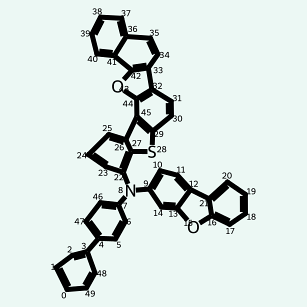 c1ccc(-c2ccc(N(c3ccc4c(c3)oc3ccccc34)c3cccc4c3sc3ccc5c6ccc7ccccc7c6oc5c34)cc2)cc1